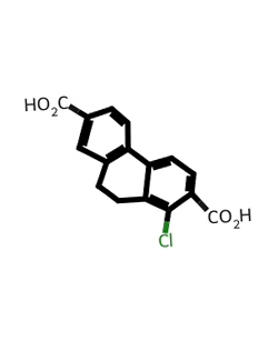 O=C(O)c1ccc2c(c1)CCc1c-2ccc(C(=O)O)c1Cl